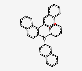 c1ccc(N(c2ccc3ccccc3c2)c2ccc3ccccc3c2-c2ccc3ccccc3c2)cc1